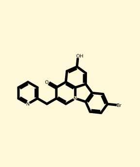 O=c1c(Cc2ccccn2)cn2c3ccc(Br)cc3c3cc(O)cc1c32